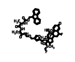 CC1CC2C3CC(F)C4=CC(=O)C=CC4(C)C3(F)C(O)CC2(C)C1(OC(=O)c1cc(COCNC(=O)[C@H](C)NC(=O)[C@H](C)NC(=O)OCC2c3ccccc3-c3ccccc32)co1)C(=O)SCF